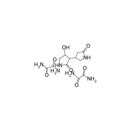 NC(=O)C(N)=O.NC(=O)C(N)=O.O=C1CC(C2C(=O)NCC2O)CN1